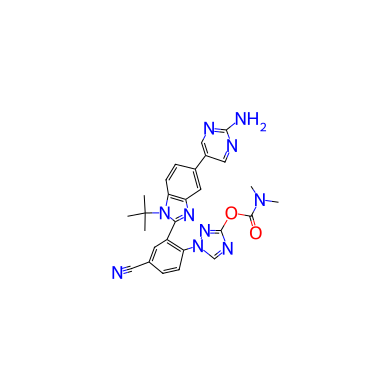 CN(C)C(=O)Oc1ncn(-c2ccc(C#N)cc2-c2nc3cc(-c4cnc(N)nc4)ccc3n2C(C)(C)C)n1